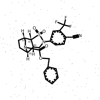 N#Cc1ccc(N2C[C@H]3[C@H]([C@H]4CC[C@@H]3N(C(=O)OCc3ccccc3)C4)S2(=O)=O)cc1C(F)(F)F